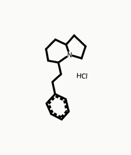 Cl.c1ccc(CCC2CCCC3CCCN32)cc1